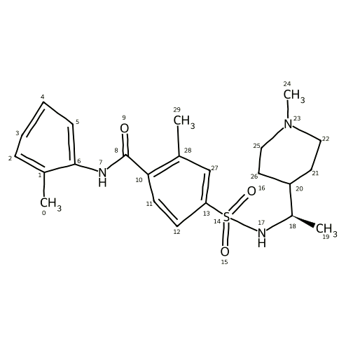 Cc1ccccc1NC(=O)c1ccc(S(=O)(=O)N[C@H](C)C2CCN(C)CC2)cc1C